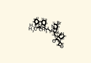 CC(C)(C)[Si](OCCCCn1c(Cn2c(=O)n(C3COC3)c3ccncc32)nc2cc(Br)cnc21)(c1ccccc1)c1ccccc1